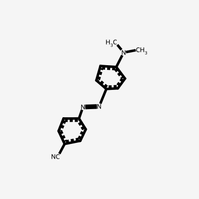 CN(C)c1ccc(N=Nc2ccc(C#N)cc2)cc1